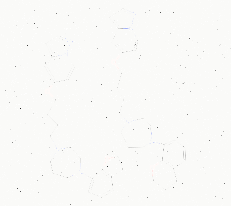 c1cc2c(c(N3CCCN(CCCCOc4ccn5nccc5c4)CC3)c1)OCC2.c1cc2c(c(N3CCCN(CCCCOc4ccn5nccc5c4)CC3)c1)OCCC2